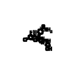 C[C@]1(C(N)=O)CC[C@@H](n2c(Nc3c(F)cc(Cl)cc3Cl)nc3cnc(N[C@@H]4CC[C@@H](O)C4)nc32)CC1